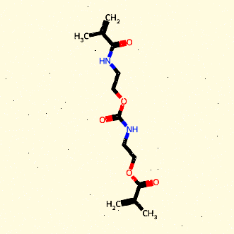 C=C(C)C(=O)NCCOC(=O)NCCOC(=O)C(=C)C